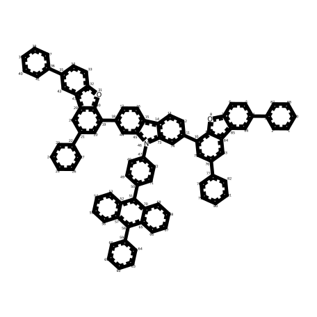 c1ccc(-c2ccc3oc4c(-c5ccc6c7ccc(-c8cc(-c9ccccc9)cc9c8oc8ccc(-c%10ccccc%10)cc89)cc7n(-c7ccc(-c8c9ccccc9c(-c9ccccc9)c9ccccc89)cc7)c6c5)cc(-c5ccccc5)cc4c3c2)cc1